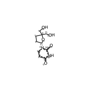 O=c1ccn([C@@H]2CCC(CO)(CO)O2)c(=O)[nH]1